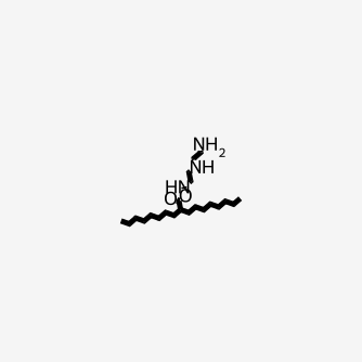 CCCCCCCCC(CCCCCCCC)C(=O)ONCCNCCN